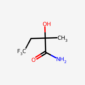 CC(O)(CC(F)(F)F)C(N)=O